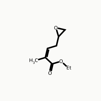 CCOC(=O)C(C)=CCC1CO1